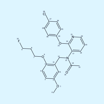 COc1ccc(OCCCF)c(CN(C(C)=O)c2cccnc2Oc2ccc(Cl)cc2)c1